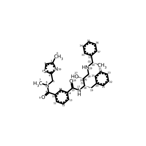 Cc1csc(CN(C)C(=O)c2cccc(C(=O)N[C@@H](Cc3ccccc3)[C@H](O)CN[C@@H](C)c3ccccc3)c2)n1